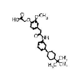 COc1cc(CC(=O)Nc2cccc(C3CCC(C(C)(C)C)CC3)c2)ccc1OCC(=O)O